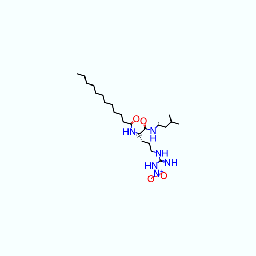 CCCCCCCCCCCC(=O)N[C@@H](CCCNC(=N)N[N+](=O)[O-])C(=O)N[CH]CC(C)C